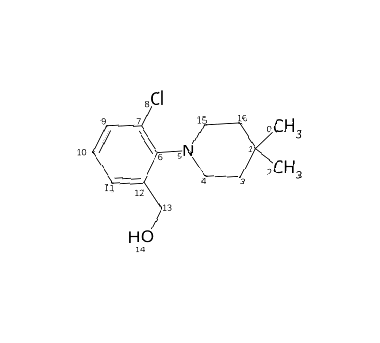 CC1(C)CCN(c2c(Cl)cccc2CO)CC1